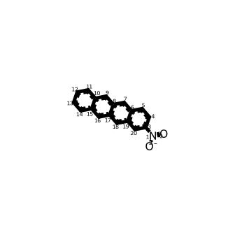 O=[N+]([O-])c1ccc2cc3cc4ccccc4cc3cc2c1